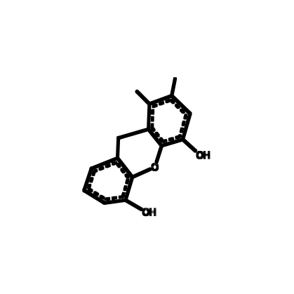 Cc1cc(O)c2c(c1C)Cc1cccc(O)c1O2